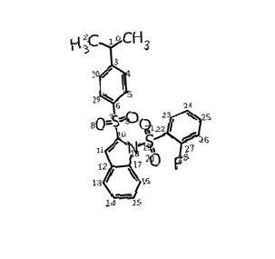 CC(C)c1ccc(S(=O)(=O)c2cc3ccccc3n2S(=O)(=O)c2ccccc2F)cc1